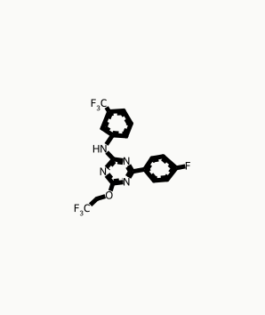 Fc1ccc(-c2nc(Nc3cccc(C(F)(F)F)c3)nc(OCC(F)(F)F)n2)cc1